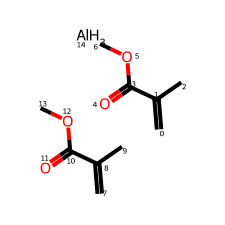 C=C(C)C(=O)OC.C=C(C)C(=O)OC.[AlH3]